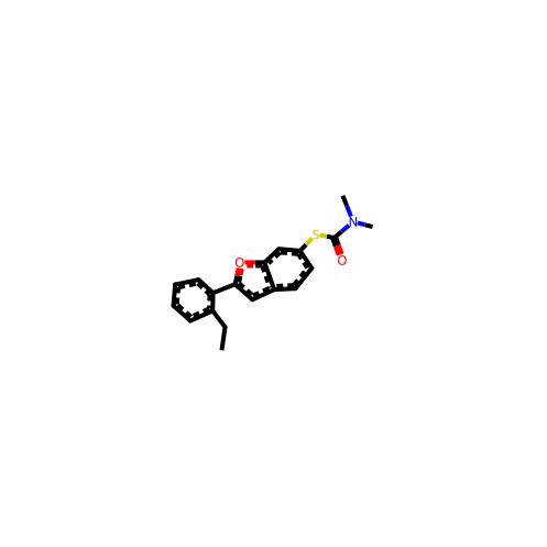 CCc1ccccc1-c1cc2ccc(SC(=O)N(C)C)cc2o1